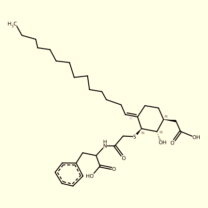 CCCCCCCCCCCCC/C=C1\CC[C@@H](CC(=O)O)[C@H](O)[C@H]1SCC(=O)NC(Cc1ccccc1)C(=O)O